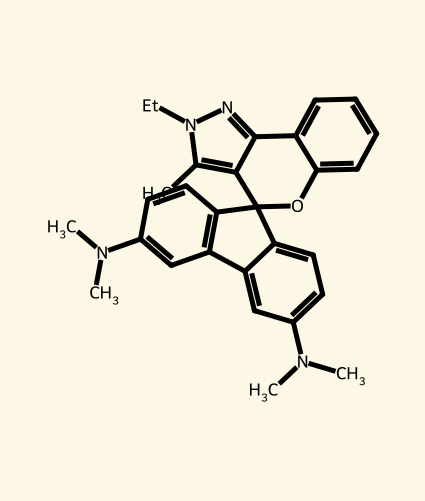 CCn1nc2c(c1C)C1(Oc3ccccc3-2)c2ccc(N(C)C)cc2-c2cc(N(C)C)ccc21